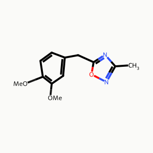 COc1ccc(Cc2nc(C)no2)cc1OC